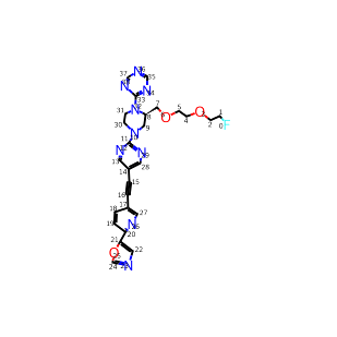 FCCOCCOC[C@H]1CN(c2ncc(C#Cc3ccc(-c4cnco4)nc3)cn2)CCN1c1ncncn1